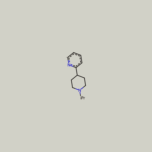 CC(C)N1CCC(c2ccc[c]n2)CC1